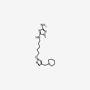 Cn1nc(N)nc1NCCCCCOn1cc(CN2CCCCC2)cn1